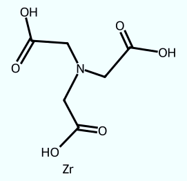 O=C(O)CN(CC(=O)O)CC(=O)O.[Zr]